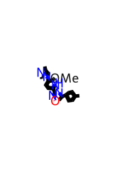 COc1nc(C2=NOCC(c3ccc(C)cc3)N2)ccc1-n1cnc(C)c1